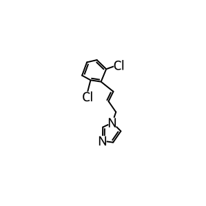 Clc1cccc(Cl)c1/C=C/Cn1ccnc1